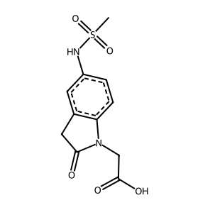 CS(=O)(=O)Nc1ccc2c(c1)CC(=O)N2CC(=O)O